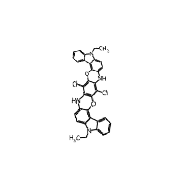 CCn1c2ccccc2c2c3oc4c(Cl)c5[nH]c6ccc7c(c8ccccc8n7CC)c6oc5c(Cl)c4[nH]c3ccc21